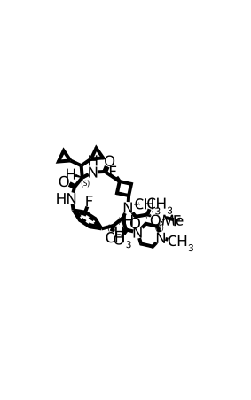 CO[C@@H](C)C(=O)[N+]1(C)C2CC(F)(C2)C(=O)N[C@@H](C(C2CC2)C2CC2)C(=O)Nc2ccc(cc2F)[C@H](C)[C@@H]1C(=O)N1CCN(C)[C@@H](CF)C1